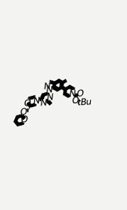 Cc1nc(N2CCO[C@@H](COC3CCCCO3)C2)cc(-n2ncc3cc(C)c(C4CCN(C(=O)OC(C)(C)C)CC4)cc32)n1